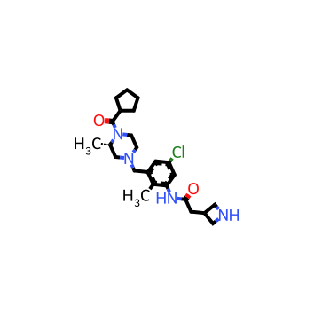 Cc1c(CN2CCN(C(=O)C3CCCC3)[C@@H](C)C2)cc(Cl)cc1NC(=O)CC1CNC1